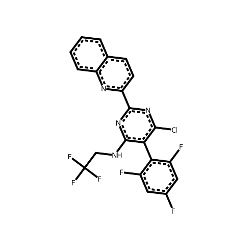 Fc1cc(F)c(-c2c(Cl)nc(-c3ccc4ccccc4n3)nc2NCC(F)(F)F)c(F)c1